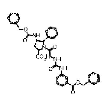 O=C(NCC(=O)N1C(C(=O)O)CC(NC(=O)OCc2ccccc2)C1c1ccccc1)Nc1cccc(C(=O)OCc2ccccc2)c1